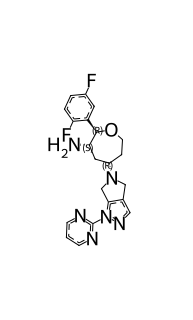 N[C@H]1C[C@@H](N2Cc3cnn(-c4ncccn4)c3C2)CCO[C@@H]1c1cc(F)ccc1F